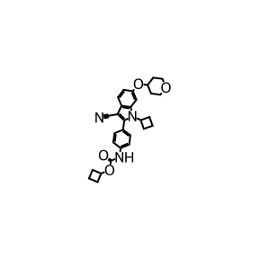 N#Cc1c(-c2ccc(NC(=O)OC3CCC3)cc2)n(C2CCC2)c2cc(OC3CCOCC3)ccc12